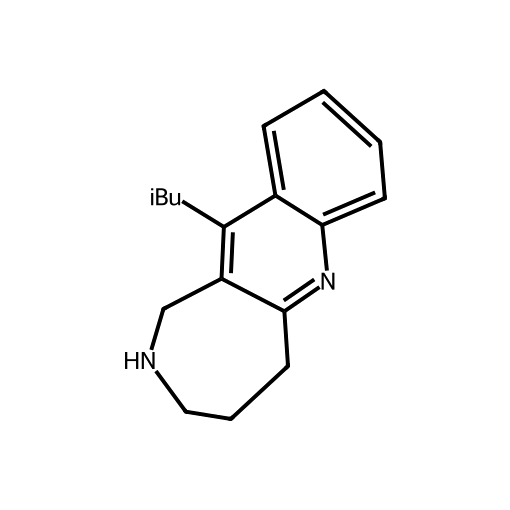 CCC(C)c1c2c(nc3ccccc13)CCCNC2